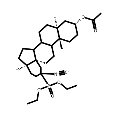 [C-]#[N+]C1(P(=O)(OCC)OCC)CC[C@H]2CCC3C4CC[C@H]5C[C@H](OC(C)=O)CC[C@]5(C)C4CC[C@@]32C1